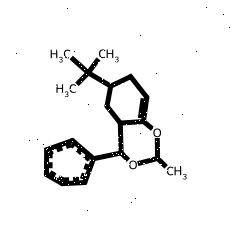 CC1OC2=CCC(C(C)(C)C)CC2C(c2ccccc2)O1